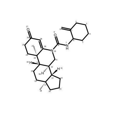 C=C1CCCCC1NC(=O)N1C[C@H]2[C@@H]3CCC[C@@]3(C)CC[C@@H]2[C@@]2(C)CCC(=O)C=C12